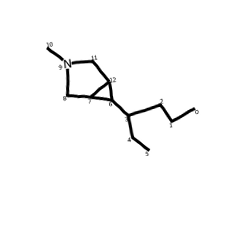 CCCC(CC)C1C2CN(C)CC21